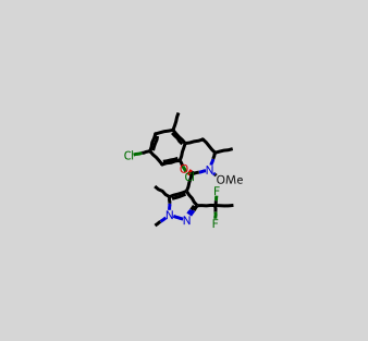 CON(C(=O)c1c(C(C)(F)F)nn(C)c1C)C(C)Cc1c(C)cc(Cl)cc1Cl